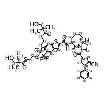 CC(C)(CO)C(=O)SCCOP(=O)(OCCSC(=O)C(C)(C)CO)C(F)(F)c1ccc2sc(C(=O)N[C@H]3CCCC[C@H]4CC[C@@H](C(=O)N5C[C@@H](C#N)[C@H](c6ccccc6)C5)N4C3=O)cc2c1